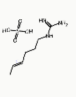 C/C=C/CCCNC(=N)N.O=S(=O)(O)O